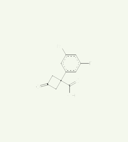 O=C1CC(C(=O)O)(c2cc(F)cc(Br)c2)C1